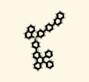 c1ccc(-c2c(-c3ccccc3)c3cc(-c4ccc(N(c5ccc(-c6ccc(-c7ccc8ccccc8c7)cc6)cc5)c5cccc6ccccc56)cc4)ccc3c3ccccc23)cc1